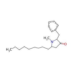 CCCCCCCCCC1CC(=O)C(Cc2ccccc2)N1C